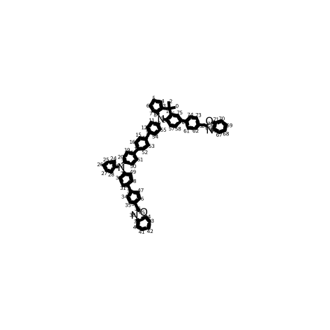 CC1(C)c2ccccc2N(c2ccc(-c3ccc(-c4ccc(N(c5ccccc5)c5ccc(-c6ccc(-c7nc8ccccc8o7)cc6)cc5)cc4)cc3)cc2)c2ccc(-c3ccc(-c4nc5ccccc5o4)cc3)cc21